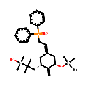 C=C1[C@H](CC(C)(C)[Si](C)(C)O)C/C(=C\CP(=O)(c2ccccc2)c2ccccc2)C[C@H]1O[Si](C)(C)C(C)(C)C